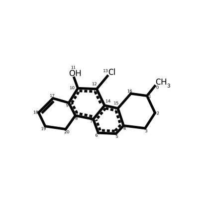 CC1CCc2ccc3c4c(c(O)c(Cl)c3c2C1)C=CCC4